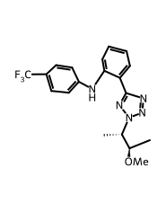 CO[C@H](C)[C@H](C)n1nnc(-c2ccccc2Nc2ccc(C(F)(F)F)cc2)n1